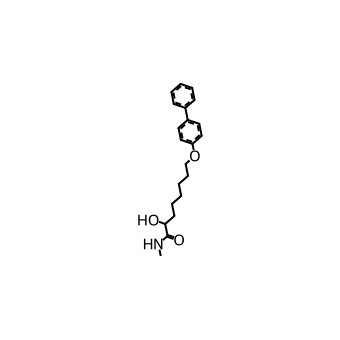 CNC(=O)C(O)CCCCCCOc1ccc(-c2ccccc2)cc1